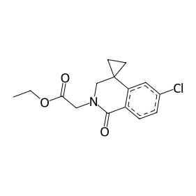 CCOC(=O)CN1CC2(CC2)c2cc(Cl)ccc2C1=O